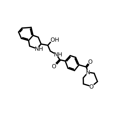 O=C(NCC(O)C1Cc2ccccc2CN1)c1ccc(C(=O)N2CCOCC2)cc1